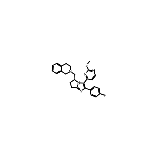 CSc1nccc(-c2c(-c3ccc(F)cc3)nc3n2[C@H](CN2CCc4ccccc4C2)CC3)n1